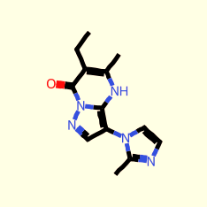 CCc1c(C)[nH]c2c(-n3ccnc3C)cnn2c1=O